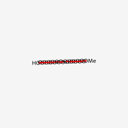 COCCOCCOCCOCCOCCOCCOCCOCCOCCOCCOCCOCCOCCOCCOCCOCCOCCOCCOCCOCCOCCOCCOCCO